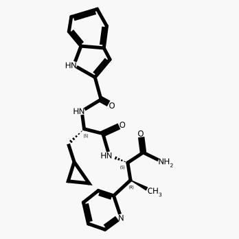 C[C@@H](c1ccccn1)[C@H](NC(=O)[C@H](CC1CC1)NC(=O)c1cc2ccccc2[nH]1)C(N)=O